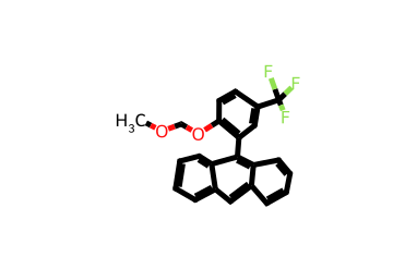 COCOc1ccc(C(F)(F)F)cc1-c1c2ccccc2cc2ccccc12